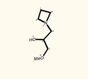 COCC(O)CN1CCC1